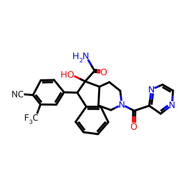 N#Cc1ccc(C(c2ccccc2)C(O)(C(N)=O)C2CCN(C(=O)c3cnccn3)CC2)cc1C(F)(F)F